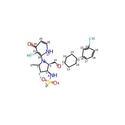 CC1C[C@H](NS(C)(=O)=O)[C@H](CO[C@H]2CC[C@@H](c3cccc(F)c3)CC2)N1c1[nH]ccc(=O)c1F